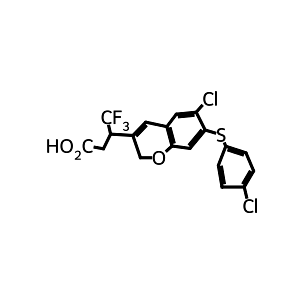 O=C(O)CC(C1=Cc2cc(Cl)c(Sc3ccc(Cl)cc3)cc2OC1)C(F)(F)F